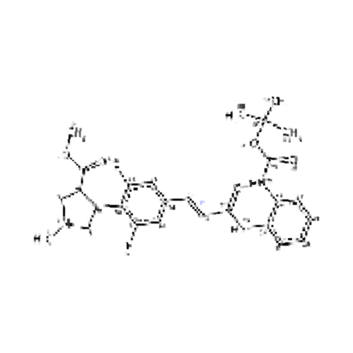 COC(=O)C1CN(C)CC1c1c(F)cc(/C=C/C(=O)Nc2ccccc2NC(=O)OC(C)(C)C)cc1F